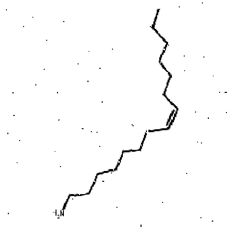 CCCCCC/C=C\CCCCCCCN